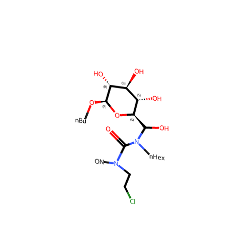 CCCCCCN(C(=O)N(CCCl)N=O)C(O)[C@H]1O[C@@H](OCCCC)[C@H](O)[C@@H](O)[C@@H]1O